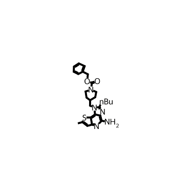 CCCCc1nc2c(N)nc3cc(C)sc3c2n1CC1CCN(C(=O)OCc2ccccc2)CC1